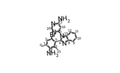 Cc1cc(Br)c(-c2nc3ccccc3n2-c2cc(N)ncn2)c(C)c1N